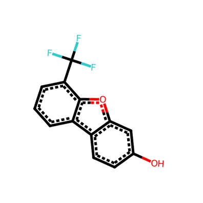 Oc1ccc2c(c1)oc1c(C(F)(F)F)cccc12